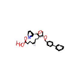 O=C(O)CC/C=C\CC[C@@H]1[C@@H](OCc2ccc(-c3ccccc3)cc2)CO[C@H]1c1cccnc1